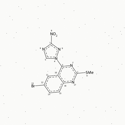 CSc1nc(-n2cnc([N+](=O)[O-])n2)c2cc(Br)ccc2n1